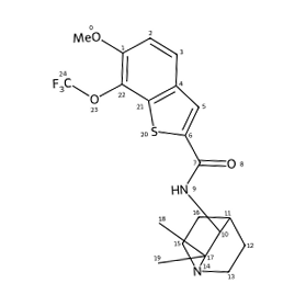 COc1ccc2cc(C(=O)NC3C4CCN(CC4)C3(C)C)sc2c1OC(F)(F)F